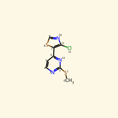 CSc1nccc(-c2scnc2Cl)n1